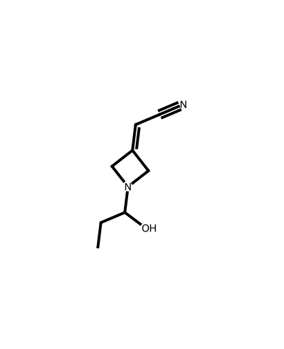 CCC(O)N1CC(=CC#N)C1